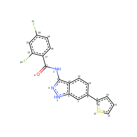 O=C(Nc1n[nH]c2cc(-c3cccs3)ccc12)c1ccc(F)cc1F